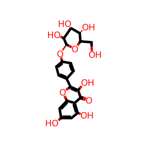 O=c1c(O)c(-c2ccc(O[C@@H]3OC(CO)[C@@H](O)C(O)C3O)cc2)oc2cc(O)cc(O)c12